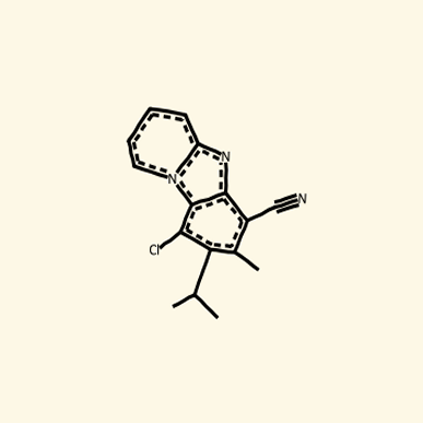 Cc1c(C(C)C)c(Cl)c2c(nc3ccccn32)c1C#N